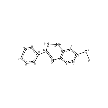 COc1ncc2c(n1)NNC(c1ccccc1)=N2